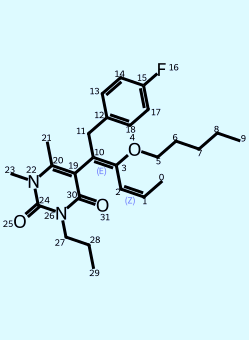 C/C=C\C(OCCCCC)=C(\Cc1ccc(F)cc1)c1c(C)n(C)c(=O)n(CCC)c1=O